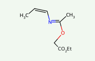 C/C=C\N=C(/C)OCC(=O)OCC